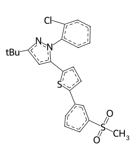 CC(C)(C)c1cc(-c2ccc(-c3cccc(S(C)(=O)=O)c3)s2)n(-c2ccccc2Cl)n1